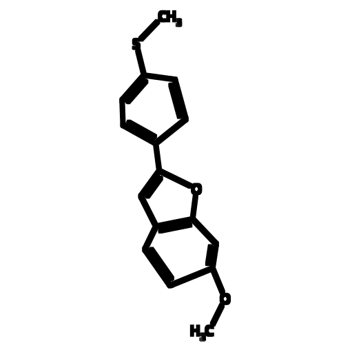 COc1ccc2cc(-c3ccc(SC)cc3)oc2c1